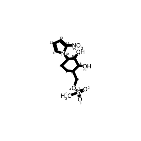 CS(=O)(=O)OCC1CCC(n2cccc2[N+](=O)[O-])C(O)C1O